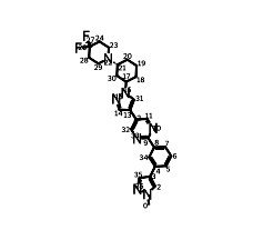 Cn1cc(-c2cccc(-c3ncc(-c4cnn(C5CCC[C@@H](N6CCC(F)(F)CC6)C5)c4)cn3)c2)cn1